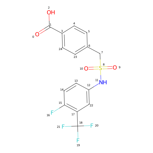 O=C(O)c1ccc(CS(=O)(=O)Nc2ccc(F)c(C(F)(F)F)c2)cc1